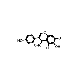 O=CC1C(c2ccc(O)cc2)=COc2cc(O)c(O)c(O)c21